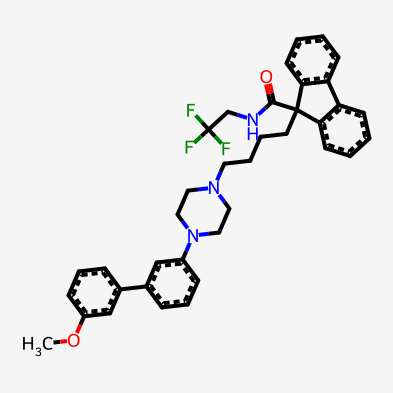 COc1cccc(-c2cccc(N3CCN(CCCCC4(C(=O)NCC(F)(F)F)c5ccccc5-c5ccccc54)CC3)c2)c1